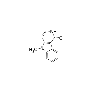 Cn1c2ccccc2c2c(=O)[nH]ccc21